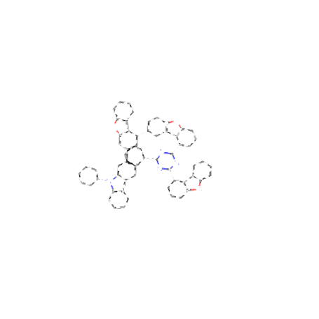 c1ccc(-c2nc(-c3cccc4oc5ccccc5c34)nc(-c3cccc4oc5ccc(-c6cc(-c7ccc8c9ccccc9n(-c9ccccc9)c8c7)cc7oc8ccccc8c67)cc5c34)n2)cc1